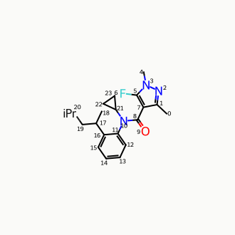 Cc1nn(C)c(F)c1C(=O)N(c1ccccc1C(C)CC(C)C)C1CC1